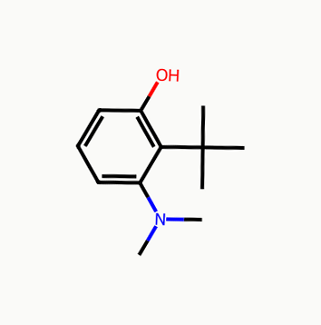 CN(C)c1cccc(O)c1C(C)(C)C